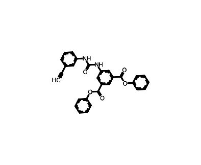 C#Cc1cccc(NC(=O)Nc2cc(C(=O)Oc3ccccc3)cc(C(=O)Oc3ccccc3)c2)c1